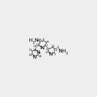 NCc1cncc(-c2ccc(N)c(Cc3ccncn3)n2)c1